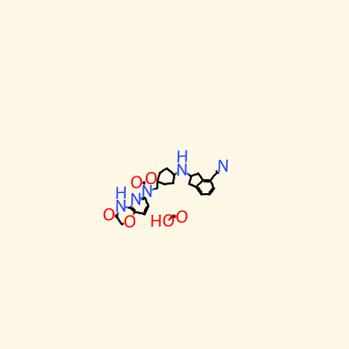 N#Cc1cccc2c1CC(NC1CCC3(CC1)CN(c1ccc4c(n1)NC(=O)CO4)C(=O)O3)C2.O=CO